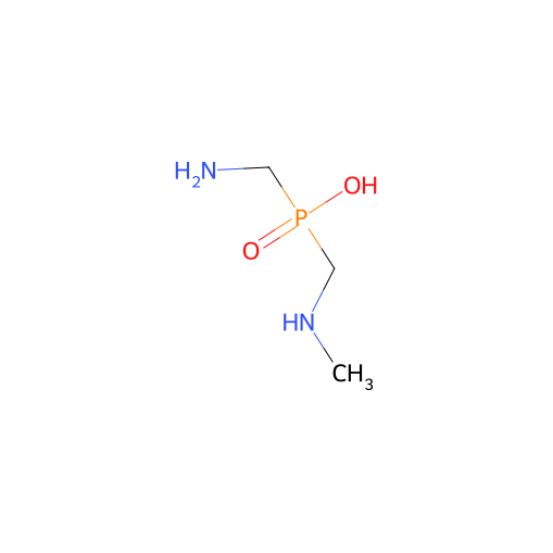 CNCP(=O)(O)CN